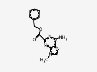 Cn1cnc2c(N)nc(C(=O)OCc3ccccc3)nc21